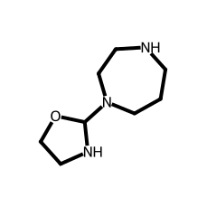 C1CNCCN(C2NCCO2)C1